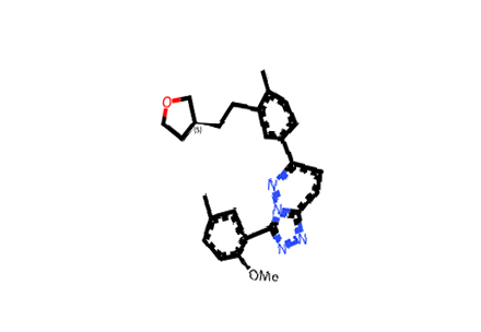 COc1ccc(C)cc1-c1nnc2ccc(-c3ccc(C)c(CC[C@H]4CCOC4)c3)nn12